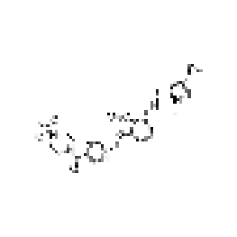 COc1c(CNC(=O)c2cc(C3CC3)nn2C)cccc1OCc1cnc(C(=O)N2CCN(S(C)(=O)=O)CC2)cn1